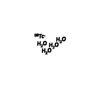 O.O.O.O.[98Tc]